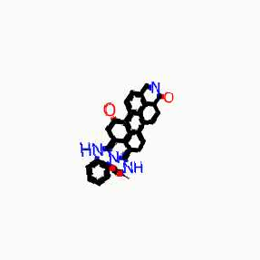 O=C1CC2=C3Nc4ccccc4[N+]34C(=C3CC=c5c6c7c8c(ccc7c1c5=C32)C=NC(=O)C8C=C6)Nc1ccccc14